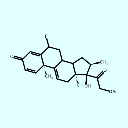 CC(=O)OCC(=O)[C@@]1(O)[C@H](C)CC2C3CC(F)C4=CC(=O)C=C[C@]4(C)C3=CC[C@@]21C